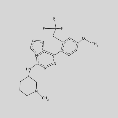 COc1ccc(-c2nnc(NC3CCCN(C)C3)n3cccc23)c(CC(F)(F)F)c1